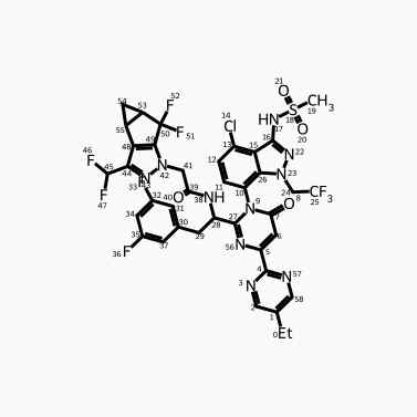 CCc1cnc(-c2cc(=O)n(-c3ccc(Cl)c4c(NS(C)(=O)=O)nn(CC(F)(F)F)c34)c(C(Cc3cc(F)cc(F)c3)NC(=O)Cn3nc(C(F)F)c4c3C(F)(F)C3CC43)n2)nc1